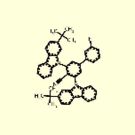 CC(C)(C)c1ccc2c3ccccc3n(-c3cc(-c4cccc(F)c4)cc(-n4c5ccccc5c5ccc(C(C)(C)C)cc54)c3C#N)c2c1